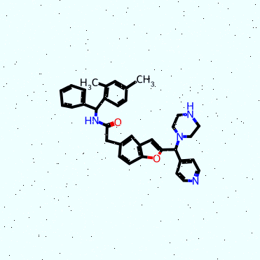 Cc1ccc(C(NC(=O)Cc2ccc3oc(C(c4ccncc4)N4CCNCC4)cc3c2)c2ccccc2)c(C)c1